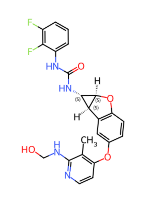 Cc1c(Oc2ccc3c(c2)[C@H]2[C@H](NC(=O)Nc4cccc(F)c4F)[C@H]2O3)ccnc1NCO